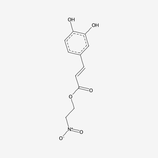 O=C(C=Cc1ccc(O)c(O)c1)OCC[N+](=O)[O-]